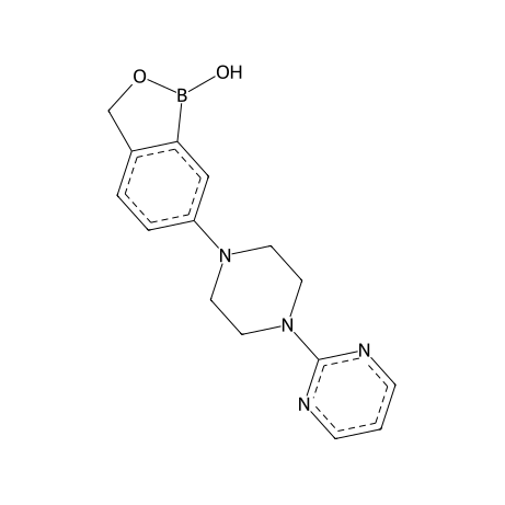 OB1OCc2ccc(N3CCN(c4ncccn4)CC3)cc21